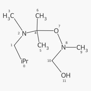 CC(C)CN(C)C(C)(C)ON(C)CO